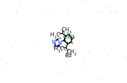 CC(C)c1cccc(C(C)C)c1-n1ccnc1.Cl.[Pd]